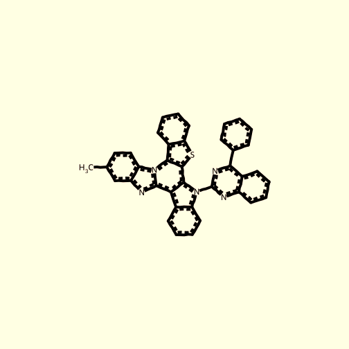 Cc1ccc2c(c1)nc1c3c4ccccc4n(-c4nc(-c5ccccc5)c5ccccc5n4)c3c3sc4ccccc4c3n21